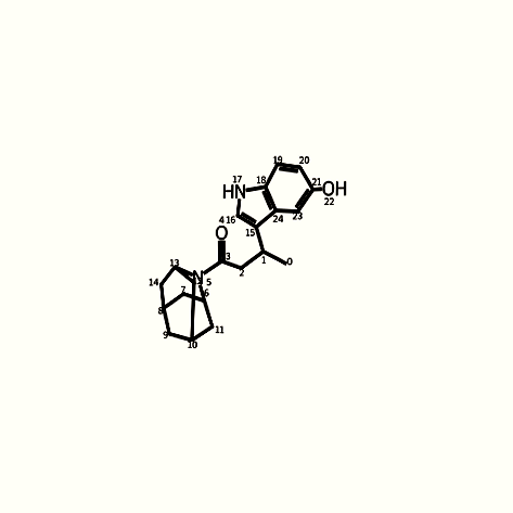 CC(CC(=O)N1C2CC3CC(C2)CC1C3)c1c[nH]c2ccc(O)cc12